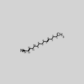 CCCCC=CCCCCCCC=CC#N